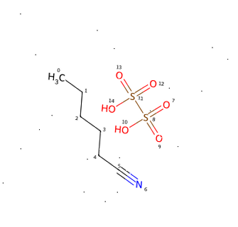 CCCCCC#N.O=S(=O)(O)S(=O)(=O)O